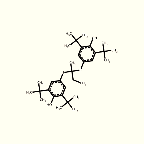 CCC(C)(Sc1cc(C(C)(C)C)c(O)c(C(C)(C)C)c1)Sc1cc(C(C)(C)C)c(O)c(C(C)(C)C)c1